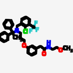 COCCNC(=O)Cc1cccc(OCCCN(Cc2cccc(C(F)(F)F)c2Cl)C(C)(c2ccccc2)c2ccccc2)c1